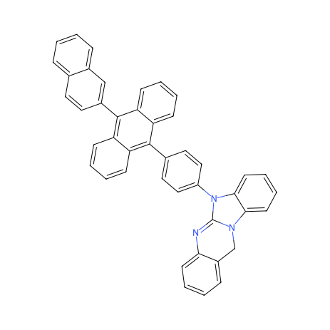 c1ccc2c(c1)CN1C(=N2)N(c2ccc(-c3c4ccccc4c(-c4ccc5ccccc5c4)c4ccccc34)cc2)c2ccccc21